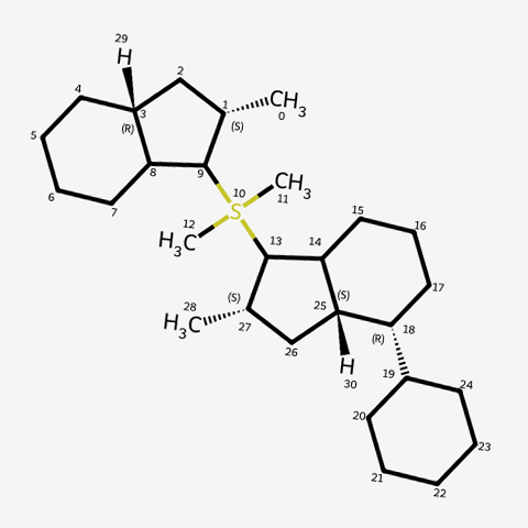 C[C@H]1C[C@H]2CCCCC2C1S(C)(C)C1C2CCC[C@H](C3CCCCC3)[C@@H]2C[C@@H]1C